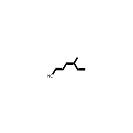 C=C/C(I)=C\C=C\C#N